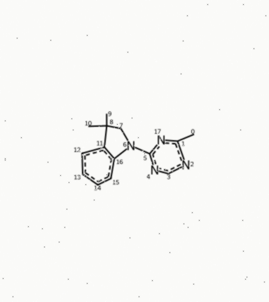 Cc1ncnc(N2CC(C)(C)c3ccccc32)n1